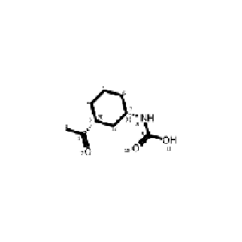 CC(=O)[C@@H]1CCC[C@H](NC(=O)O)C1